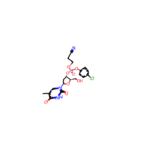 Cc1cn([C@H]2C[C@H](OP(=O)(OCCC#N)Oc3ccc(Cl)cc3)[C@@H](CO)O2)c(=O)[nH]c1=O